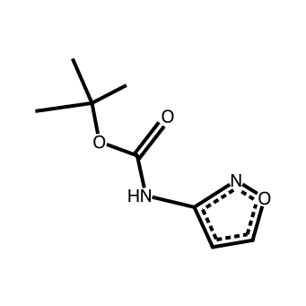 CC(C)(C)OC(=O)Nc1ccon1